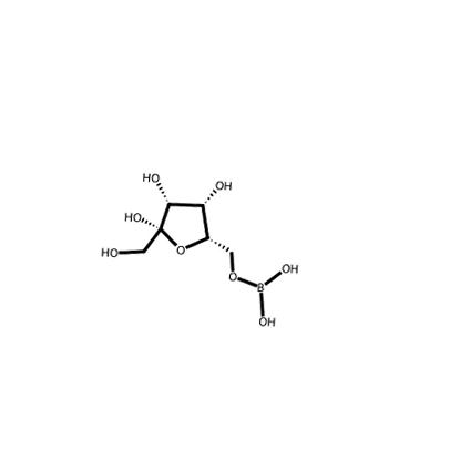 OC[C@]1(O)O[C@@H](COB(O)O)[C@@H](O)[C@H]1O